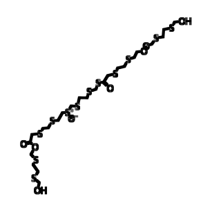 O=C(CSCCSCC[S+]([O-])CSCCSCSC(=O)CSCCSCCOOCSCCSCO)OCSCCSCO